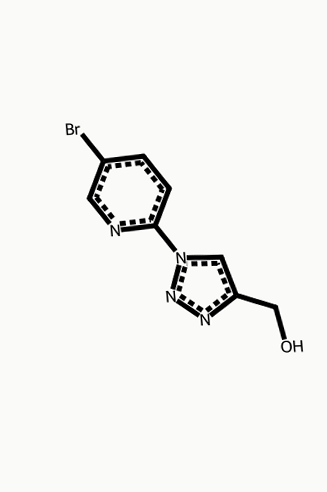 OCc1cn(-c2ccc(Br)cn2)nn1